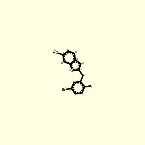 Cc1ccc(Br)cc1Cc1cc2ccc(O)cc2s1